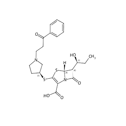 CC[C@H](O)[C@@H]1C(=O)N2C(C(=O)O)=C(S[C@H]3CCN(CCC(=O)c4ccccc4)C3)S[C@H]12